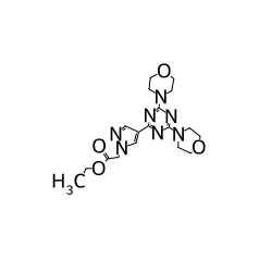 CCOC(=O)Cn1cc(-c2nc(N3CCOCC3)nc(N3CCOCC3)n2)cn1